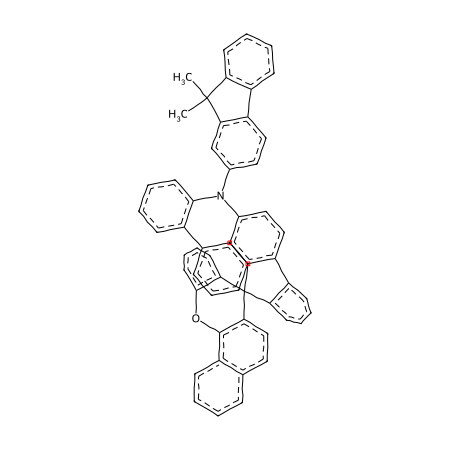 CC1(C)c2ccccc2-c2ccc(N(c3ccc4c(c3)C3(c5ccccc5Oc5c3ccc3ccccc53)c3ccccc3-4)c3ccccc3-c3ccccc3)cc21